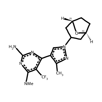 CNc1nc(N)nc(-c2cn(C3C[C@@H]4CC[C@@H](C3)O4)nc2C)c1C(F)(F)F